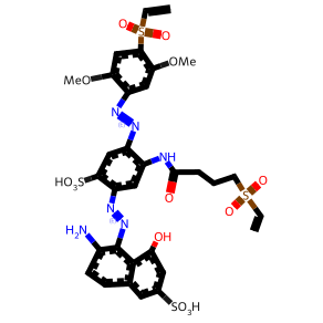 C=CS(=O)(=O)CCCC(=O)Nc1cc(/N=N/c2c(N)ccc3cc(S(=O)(=O)O)cc(O)c23)c(S(=O)(=O)O)cc1/N=N/c1cc(OC)c(S(=O)(=O)C=C)cc1OC